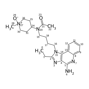 CCc1nc2c(N)nc3ccccc3c2n1CCCCN(C(C)=O)C1CC[N+](C)([O-])CC1